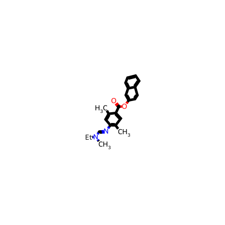 CCN(C)/C=N/c1cc(C)c(C(=O)Oc2ccc3ccccc3c2)cc1C